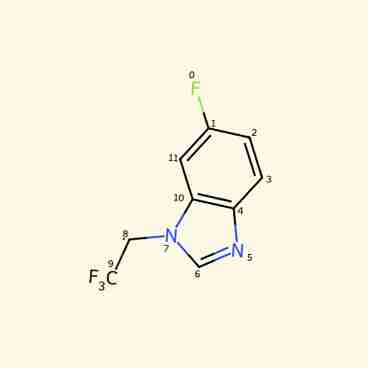 Fc1ccc2ncn([CH]C(F)(F)F)c2c1